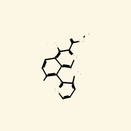 CCCNC(=O)c1ncc2c(-c3ncccc3C#N)c(F)ccc2c1N